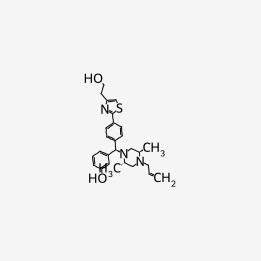 C=CCN1C[C@H](C)N([C@H](c2ccc(-c3nc(CCO)cs3)cc2)c2cccc(O)c2)C[C@H]1C